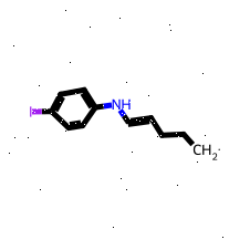 [CH2]CCC=CNc1ccc(I)cc1